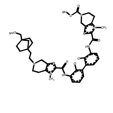 COCC12CCC(CCN3CCc4c(nc(C(=O)Nc5cccc(-c6cccc(NC(=O)c7nc8c(n7C)CCN(C(=O)OC(C)(C)C)C8)c6Cl)c5Cl)n4C)C3)(CC1)C2